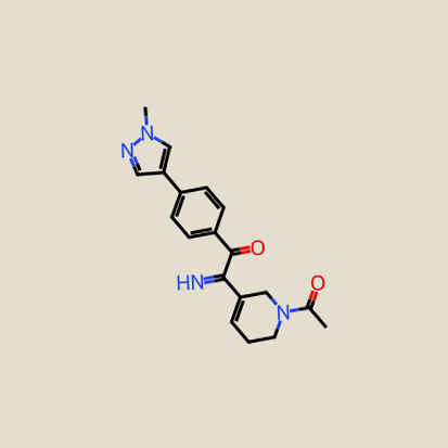 CC(=O)N1CCC=C(C(=N)C(=O)c2ccc(-c3cnn(C)c3)cc2)C1